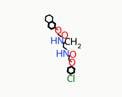 C=C(CCNC(=O)COc1ccc(Cl)cc1)NC(=O)COc1ccc2c(c1)CCCC2